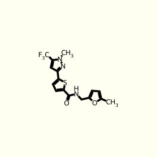 Cc1ccc(CNC(=O)c2ccc(-c3cc(C(F)(F)F)n(C)n3)s2)o1